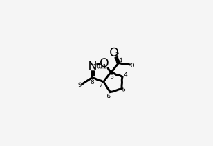 CC(=O)C12CCCC1C(C)=NO2